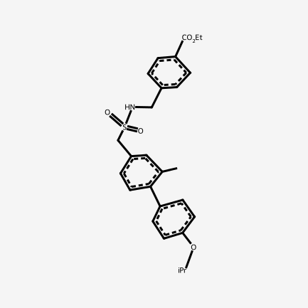 CCOC(=O)c1ccc(CNS(=O)(=O)Cc2ccc(-c3ccc(OC(C)C)cc3)c(C)c2)cc1